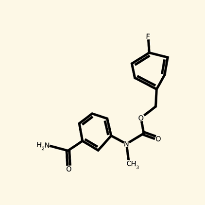 CN(C(=O)OCc1ccc(F)cc1)c1cccc(C(N)=O)c1